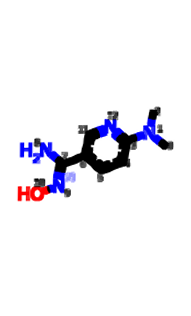 CN(C)c1ccc(/C(N)=N/O)cn1